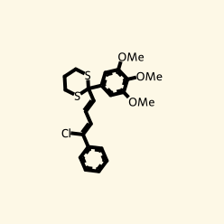 COc1cc(C2(/C=C/C=C(\Cl)c3ccccc3)SCCCS2)cc(OC)c1OC